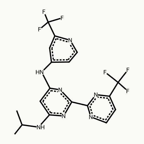 CC(C)Nc1cc(Nc2ccnc(C(F)(F)F)c2)nc(-c2nccc(C(F)(F)F)n2)n1